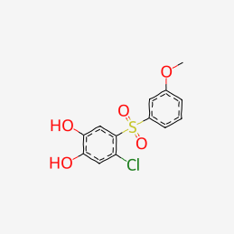 COc1cccc(S(=O)(=O)c2cc(O)c(O)cc2Cl)c1